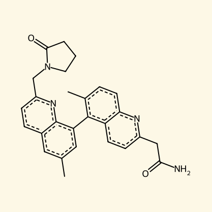 Cc1cc(-c2c(C)ccc3nc(CC(N)=O)ccc23)c2nc(CN3CCCC3=O)ccc2c1